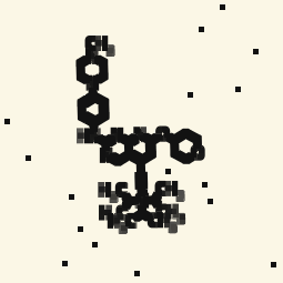 CC(C)[Si](C#Cc1cc(OC2CCOCC2)nc2nc(Nc3ccc(N4CCN(C)CC4)cc3)ncc12)(C(C)C)C(C)C